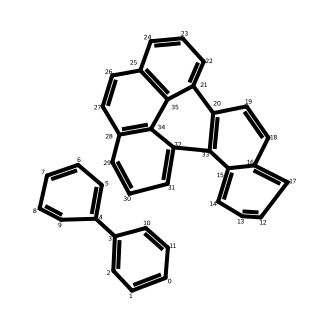 c1ccc(-c2ccccc2)cc1.c1ccc2c(c1)ccc1c3cccc4ccc5cccc(c21)c5c43